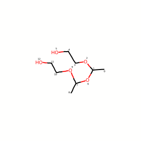 CC(OCCO)OC(C)OCCO